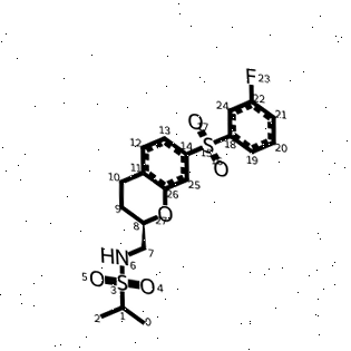 CC(C)S(=O)(=O)NC[C@H]1CCc2ccc(S(=O)(=O)c3cccc(F)c3)cc2O1